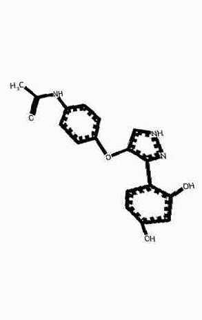 CC(=O)Nc1ccc(Oc2c[nH]nc2-c2ccc(O)cc2O)cc1